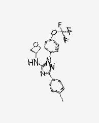 Cc1ccc(-c2nc(NC3COC3)n(-c3ccc(OC(F)(F)F)cc3)n2)cc1